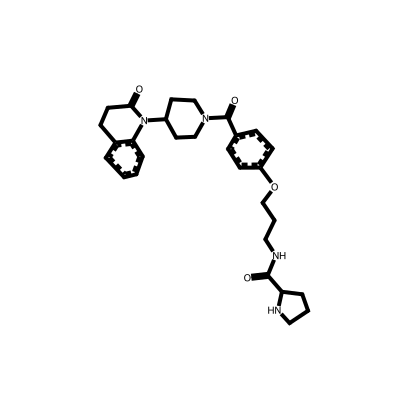 O=C(NCCCOc1ccc(C(=O)N2CCC(N3C(=O)CCc4ccccc43)CC2)cc1)C1CCCN1